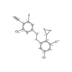 C#Cc1c(F)cc(OCc2[c]c(Cl)cc(Cl)c2C2CC2)cc1Cl